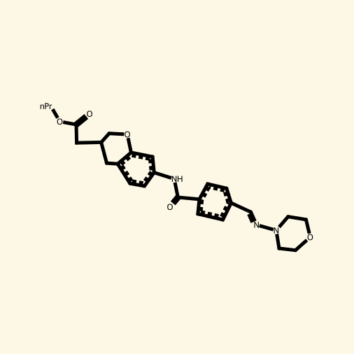 CCCOC(=O)CC1COc2cc(NC(=O)c3ccc(/C=N/N4CCOCC4)cc3)ccc2C1